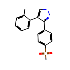 Cc1ccccc1-c1c[nH]nc1-c1ccc(S(C)(=O)=O)cc1